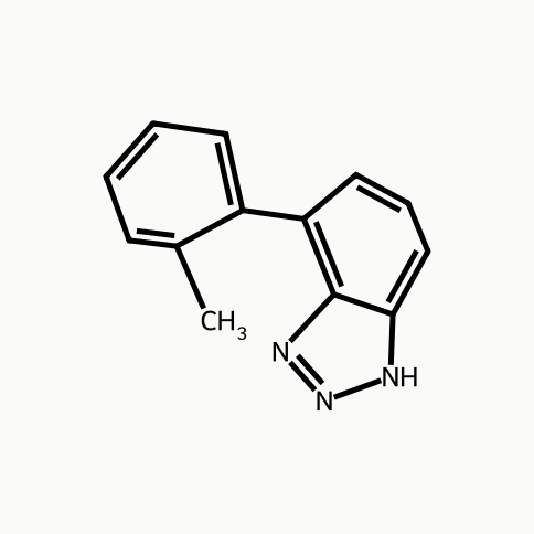 Cc1ccccc1-c1cccc2[nH]nnc12